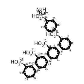 O=C(O)c1ccccc1.O=C(O)c1ccccc1.O=C(O)c1ccccc1.O=C(O)c1ccccc1.O=C(O)c1ccccc1.[NaH].[NaH]